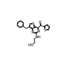 O=C(c1cccs1)c1nc(NCCO)nc2c(Cc3ccccc3)csc12